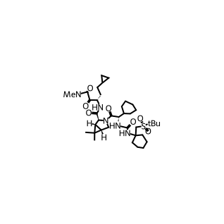 CNC(=O)C(=O)[C@H](CCC1CC1)NC(=O)[C@@H]1[C@@H]2[C@H](CN1C(=O)[C@@H](NC(=O)NC1(CS(=O)(=O)C(C)(C)C)CCCCC1)C1CCCCC1)C2(C)C